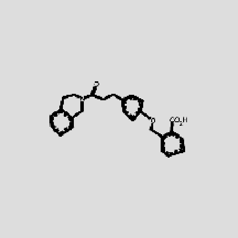 O=C(O)c1ccccc1COc1ccc(CCC(=O)N2CCc3ccccc3C2)cc1